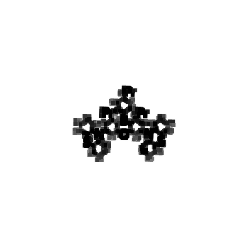 CC(C)c1cc(C(C)C)c(B2c3ccc(N4c5ccccc5Sc5ccccc54)cc3Oc3cc(N4c5ccccc5Sc5ccccc54)ccc32)c(C(C)C)c1